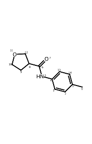 Cc1ccc(NC(=O)C2CCOC2)cc1